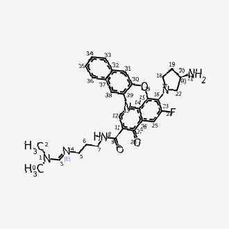 CN(C)/C=N/CCCNC(=O)c1cn2c3c(c(N4CC[C@@H](N)C4)c(F)cc3c1=O)Oc1cc3ccccc3cc1-2